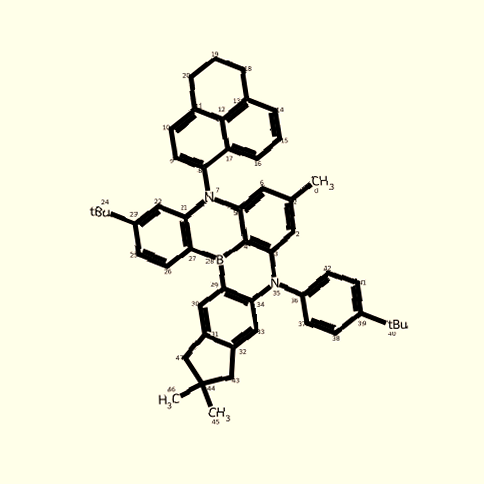 Cc1cc2c3c(c1)N(c1ccc4c5c(cccc15)CCC4)c1cc(C(C)(C)C)ccc1B3c1cc3c(cc1N2c1ccc(C(C)(C)C)cc1)CC(C)(C)C3